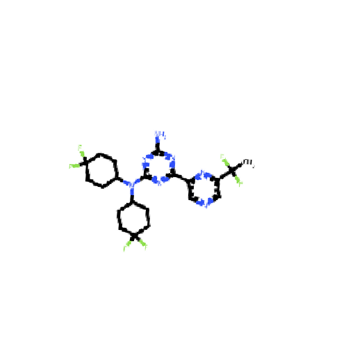 CC(F)(F)c1cncc(-c2nc(N)nc(N(C3CCC(F)(F)CC3)C3CCC(F)(F)CC3)n2)n1